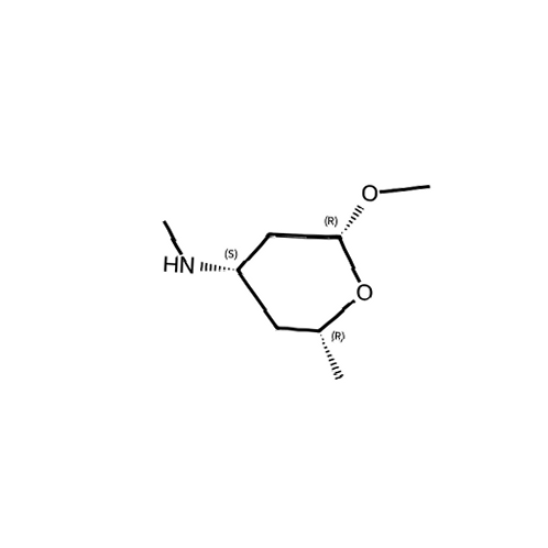 CN[C@@H]1C[C@H](OC)O[C@H](C)C1